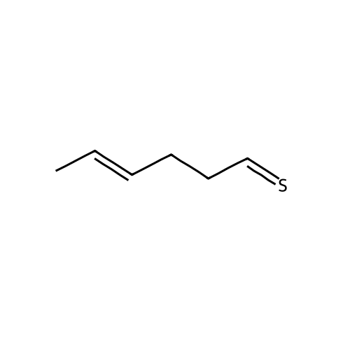 CC=CCCC=S